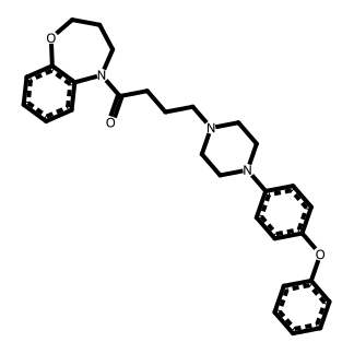 O=C(CCCN1CCN(c2ccc(Oc3ccccc3)cc2)CC1)N1CCCOc2ccccc21